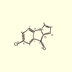 O=C1c2cc(Cl)ccc2-n2cccc21